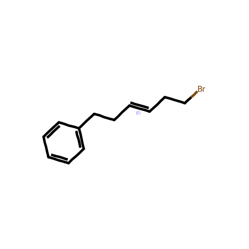 BrCC/C=C/CCc1ccccc1